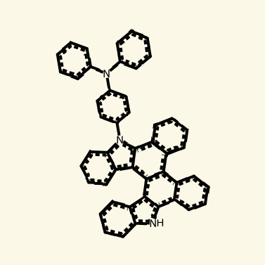 c1ccc(N(c2ccccc2)c2ccc(-n3c4ccccc4c4c5c(c6ccccc6c6[nH]c7ccccc7c65)c5ccccc5c43)cc2)cc1